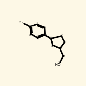 OCC1CCC(c2ccc(F)cc2)C1